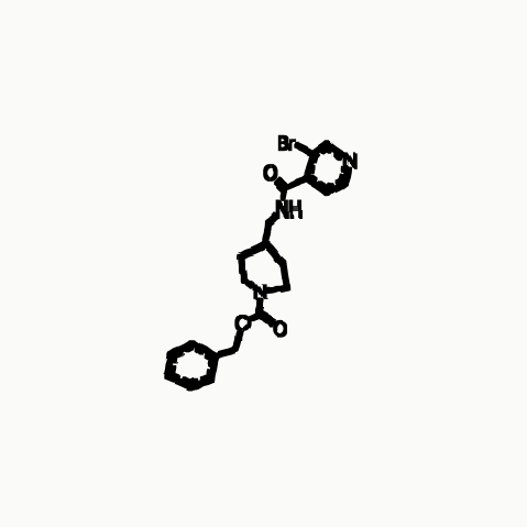 O=C(NCC1CCN(C(=O)OCc2ccccc2)CC1)c1ccncc1Br